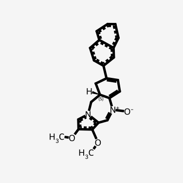 COc1cn2c(c1OC)C=[N+]([O-])C1=CC=C(c3ccc4ccccc4c3)C[C@H]1C2